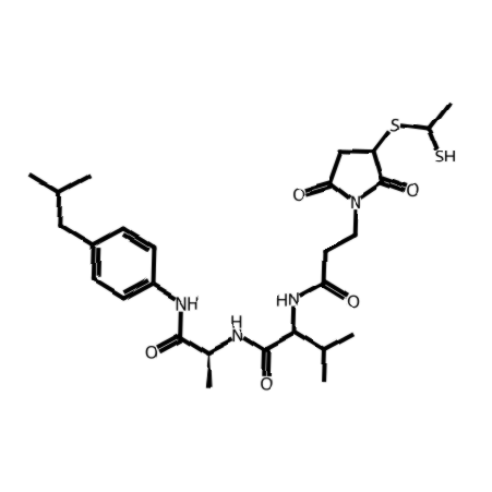 CC(C)Cc1ccc(NC(=O)[C@H](C)NC(=O)C(NC(=O)CCN2C(=O)CC(SC(C)S)C2=O)C(C)C)cc1